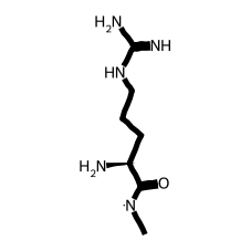 C[N]C(=O)[C@@H](N)CCCNC(=N)N